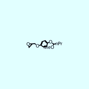 CCCC(OC)Oc1ccc(OCC2CO2)cc1